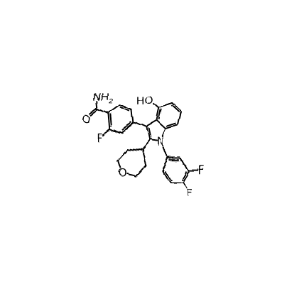 NC(=O)c1ccc(-c2c(C3CCOCC3)n(-c3ccc(F)c(F)c3)c3cccc(O)c23)cc1F